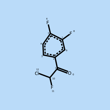 O=C(c1ccc(F)c(F)c1)C(F)Cl